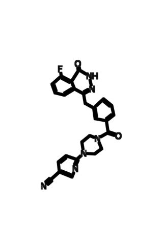 N#Cc1ccc(N2CCN(C(=O)c3cccc(Cc4n[nH]c(=O)c5c(F)cccc45)c3)CC2)nc1